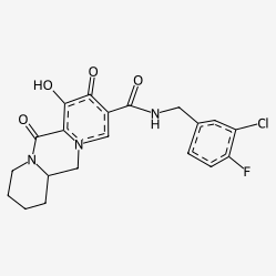 O=C(NCc1ccc(F)c(Cl)c1)c1cn2c(c(O)c1=O)C(=O)N1CCCCC1C2